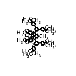 Cc1cc2c3c(c1)N(c1cc(-c4ccc(C(C)(C)C)cc4)cc(-c4ccc(C(C)(C)C)cc4)c1)c1ccc(C(C)(C)C)cc1B3c1cc(C(C)(C)C)ccc1N2c1cc(-c2ccc(C(C)(C)C)cc2)cc(-c2ccc(C(C)(C)C)cc2)c1